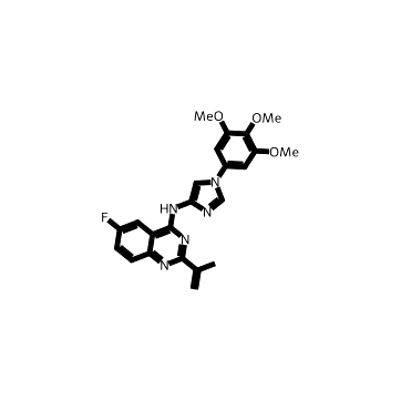 C=C(C)c1nc(Nc2cn(-c3cc(OC)c(OC)c(OC)c3)cn2)c2cc(F)ccc2n1